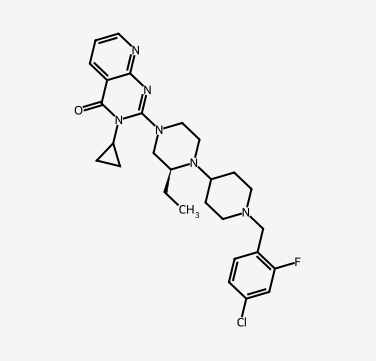 CC[C@H]1CN(c2nc3ncccc3c(=O)n2C2CC2)CCN1C1CCN(Cc2ccc(Cl)cc2F)CC1